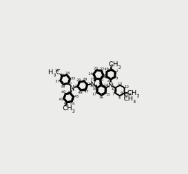 Cc1ccc(N(C2=CCC(C)(C)CC2)c2cccc3c2c2ccccc2n3-c2ccc(N(c3ccc(C)cc3)c3ccc(C)cc3)cc2)cc1